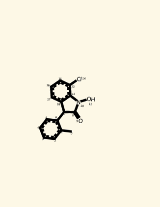 Cc1ccccc1C1C(=O)N(O)c2c(Cl)cccc21